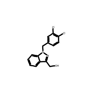 OCc1nn(Cc2ccc(Cl)c(Cl)c2)c2ccccc12